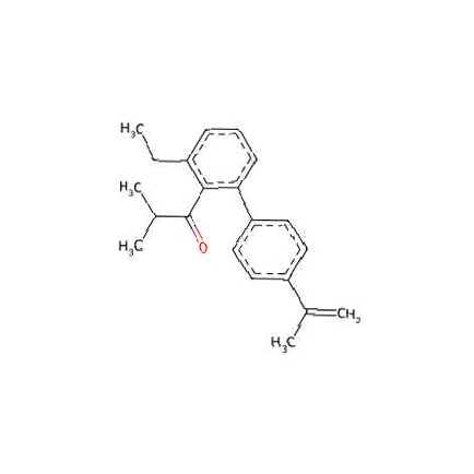 C=C(C)c1ccc(-c2cccc(CC)c2C(=O)C(C)C)cc1